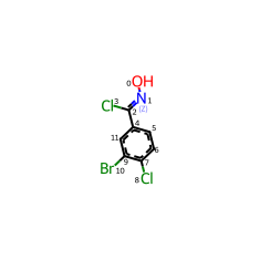 O/N=C(\Cl)c1ccc(Cl)c(Br)c1